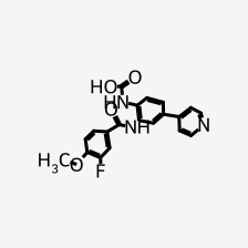 COc1ccc(C(=O)Nc2cc(-c3ccncc3)ccc2NC(=O)O)cc1F